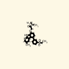 CCS(=O)(=O)c1cccc(-c2ccc(OCC(=O)N(C)C)c3[nH]c4ncc(C)cc4c23)c1